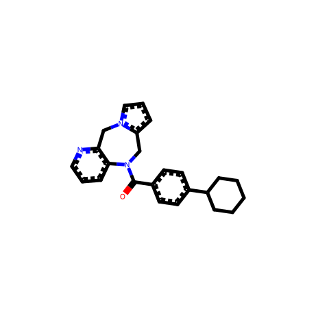 O=C(c1ccc(C2CCCCC2)cc1)N1Cc2cccn2Cc2ncccc21